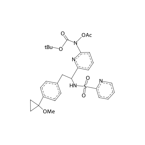 COC1(c2ccc(CC(NS(=O)(=O)c3ccccn3)c3cccc(N(OC(C)=O)C(=O)OC(C)(C)C)n3)cc2)CC1